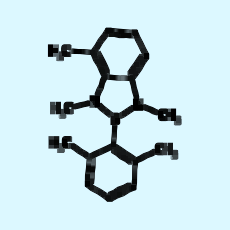 Cc1cccc(C)c1B1N(C)c2cccc(C)c2N1C